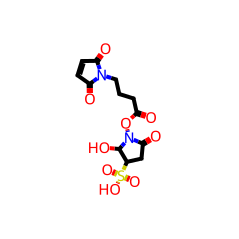 O=C(CCCN1C(=O)C=CC1=O)ON1C(=O)CC(S(=O)(=O)O)C1O